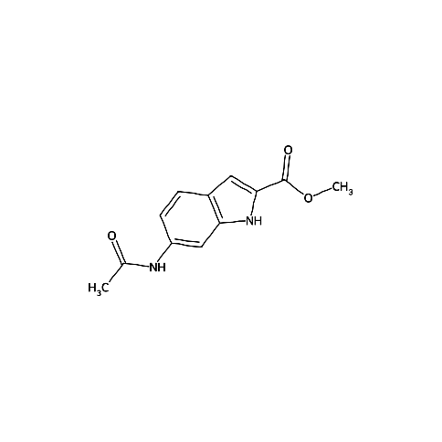 COC(=O)c1cc2ccc(NC(C)=O)cc2[nH]1